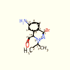 CC(C)N1N=C(Br)c2ccc(N)cc2C1C=O